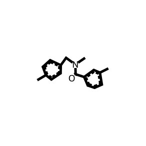 Cc1ccc(CN(C)C(=O)c2cccc(C)c2)cc1